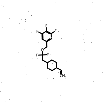 C=CC1CCC(CC(F)(F)OCc2cc(F)c(F)c(F)c2)CC1